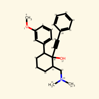 COc1cccc(C2CCCC(CN(C)C)C2(O)C#Cc2ccccc2)c1